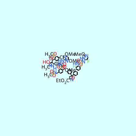 CCOC(=O)C1=NOC(c2ccccc2)(c2ccccc2)C1.COC(=O)c1ccc(CNS(C)(=O)=O)cc1S(=O)(=O)NC(=O)Nc1nc(OC)cc(OC)n1.COc1ncc(F)c2nc(S(=O)(=O)Nc3c(F)cccc3F)nn12.Cc1nn(C)c(O)c1C(=O)c1ccc(C(F)(F)F)cc1S(C)(=O)=O